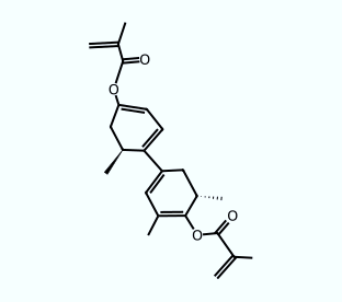 C=C(C)C(=O)OC1=CC=C(C2=CC(C)=C(OC(=O)C(=C)C)[C@@H](C)C2)[C@@H](C)C1